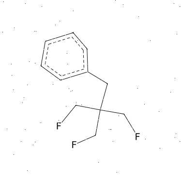 FCC(CF)(CF)Cc1ccccc1